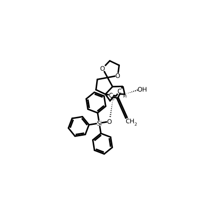 C=C1C[C@@H](O)C2CCCC3(CCC4(OCCO4)C23)C[C@@H]1O[Si](c1ccccc1)(c1ccccc1)c1ccccc1